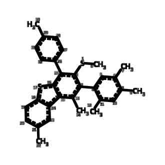 CSc1c(-c2cc(C)c(C)cc2C)c(C)c2c(sc3ccc(C)cc32)c1-c1ccc(C)cc1